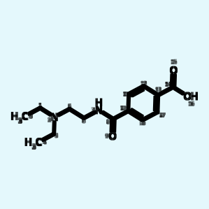 CCN(CC)CCNC(=O)c1ccc(C(=O)O)cc1